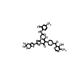 [2H]C1([2H])Cc2cc(-c3nc4n(CC(=O)Nc5ccc(C(F)(F)F)cc5Cl)c(CC)c(N5CCN(C(=O)c6ncnc(C)c6O)CC5)c(=O)n4n3)sc2CO1